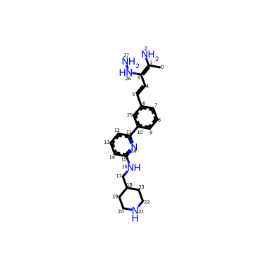 C/C(N)=C(\C=C\c1cccc(-c2cccc(NCC3CCNCC3)n2)c1)NN